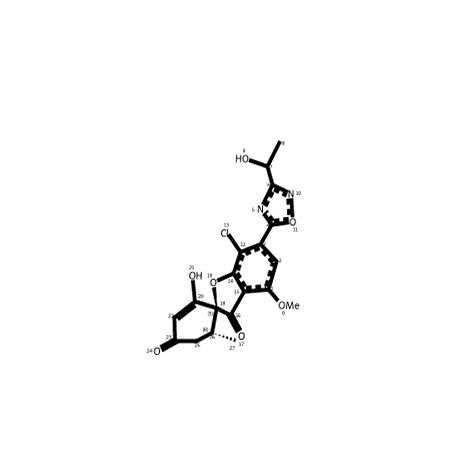 COc1cc(-c2nc(C(C)O)no2)c(Cl)c2c1C(=O)[C@@]1(O2)C(O)=CC(=O)C[C@H]1C